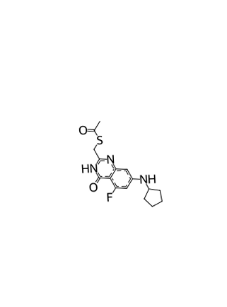 CC(=O)SCc1nc2cc(NC3CCCC3)cc(F)c2c(=O)[nH]1